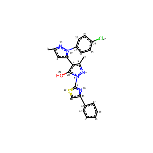 Cc1cc(-c2c(C)nn(-c3nc(-c4ccccc4)cs3)c2O)n(-c2ccc(Cl)cc2)n1